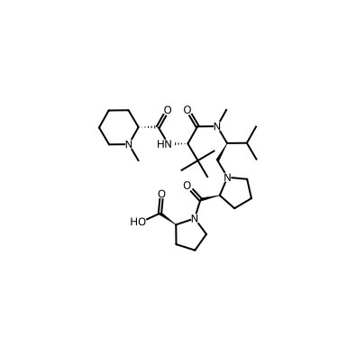 CC(C)[C@@H](CN1CCC[C@H]1C(=O)N1CCC[C@H]1C(=O)O)N(C)C(=O)[C@@H](NC(=O)[C@H]1CCCCN1C)C(C)(C)C